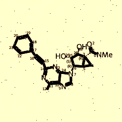 CNC(=O)[C@]12CC1[C@@H](n1cnc3c(C)nc(C#Cc4ccccc4)nc31)[C@H](O)[C@@H]2O